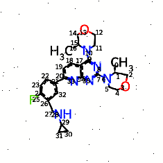 C[C@H]1COCCN1c1nc(N2CCOC[C@@H]2C)c2ccc(-c3ccc(F)c(CNC4CC4)c3)nc2n1